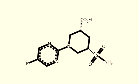 CCOC(=O)[C@@H]1C[C@H](S(N)(=O)=O)CN(c2ncc(F)cn2)C1